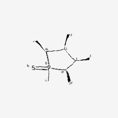 C[C@@H]1[C@H](C)[C@H](C)P(C)(=S)[C@@H]1C